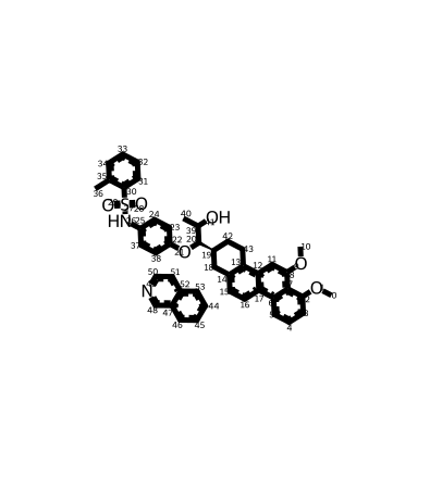 COc1cccc2c1c(OC)cc1c3c(ccc12)C[C@@H](C(Oc1ccc(NS(=O)(=O)c2ccccc2C)cc1)C(C)O)CC3.c1ccc2cnccc2c1